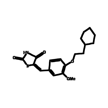 COc1cc(C=C2SC(=O)NC2=O)ccc1OCCC1CCCCC1